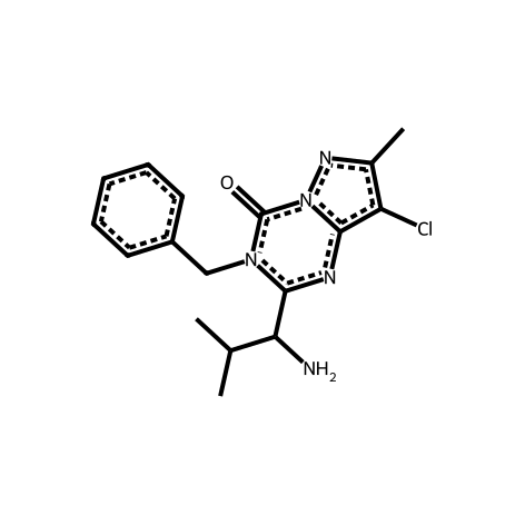 Cc1nn2c(=O)n(Cc3ccccc3)c(C(N)C(C)C)nc2c1Cl